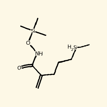 C=C(CCC[SiH2]C)C(=O)NO[Si](C)(C)C